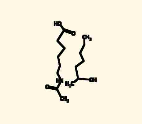 CC(=O)NCCCCCC(=O)O.CCCCCC(C)O